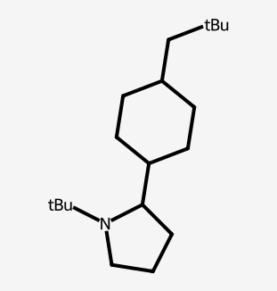 CC(C)(C)CC1CCC(C2CCCN2C(C)(C)C)CC1